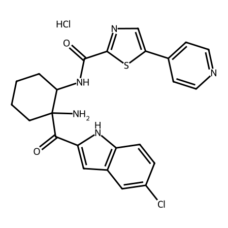 Cl.NC1(C(=O)c2cc3cc(Cl)ccc3[nH]2)CCCCC1NC(=O)c1ncc(-c2ccncc2)s1